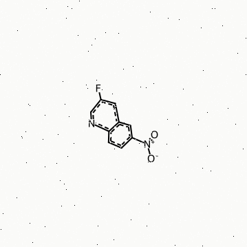 O=[N+]([O-])c1ccc2ncc(F)cc2c1